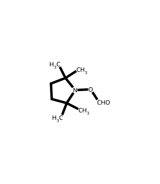 CC1(C)CCC(C)(C)N1OC=O